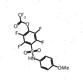 COc1ccc(NS(=O)(=O)c2c(F)c(F)c(OC(=O)C(F)(F)F)c(F)c2F)cc1